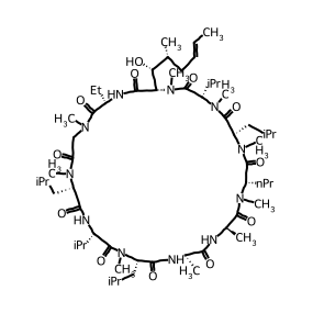 C/C=C/C[C@@H](C)[C@@H](O)[C@H]1C(=O)N[C@@H](CC)C(=O)N(C)CC(=O)N(C)[C@@H](CC(C)C)C(=O)N[C@@H](C(C)C)C(=O)N(C)[C@@H](CC(C)C)C(=O)N[C@@H](C)C(=O)N[C@H](C)C(=O)N(C)[C@@H](CCC)C(=O)N(C)[C@@H](CC(C)C)C(=O)N(C)[C@@H](C(C)C)C(=O)N1C